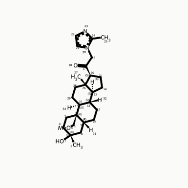 COC[C@]12CC[C@@](C)(O)C[C@H]1CC[C@H]1[C@@H]3CC[C@H](C(=O)Cn4ccnc4C)[C@@]3(C)CC[C@@H]12